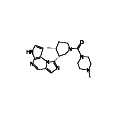 C[C@@H]1CCN(C(=O)N2CCN(C)CC2)C[C@@H]1c1ncc2cnc3[nH]ccc3n12